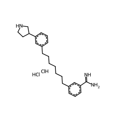 Cl.Cl.N=C(N)c1cccc(CCCCCCCc2cccc(C3CCNC3)c2)c1